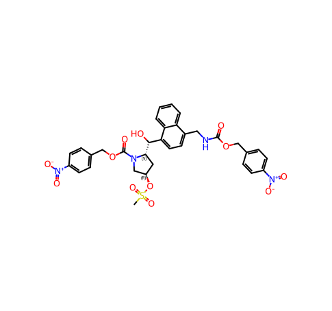 CS(=O)(=O)O[C@@H]1C[C@@H](C(O)c2ccc(CNC(=O)OCc3ccc([N+](=O)[O-])cc3)c3ccccc23)N(C(=O)OCc2ccc([N+](=O)[O-])cc2)C1